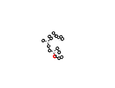 CC1(C)c2cc3c(cc2-c2ccc4ccccc4c21)c1ccccc1n3-c1ccc(-c2nc(-c3ccccc3)nc(-c3ccc(-c4cccc(-c5nc(-c6ccccc6)nc(-c6cccc7oc8ccc(-n9c%10ccccc%10c%10ccc%11ccccc%11c%109)cc8c67)n5)c4)cc3)n2)c2ccccc12